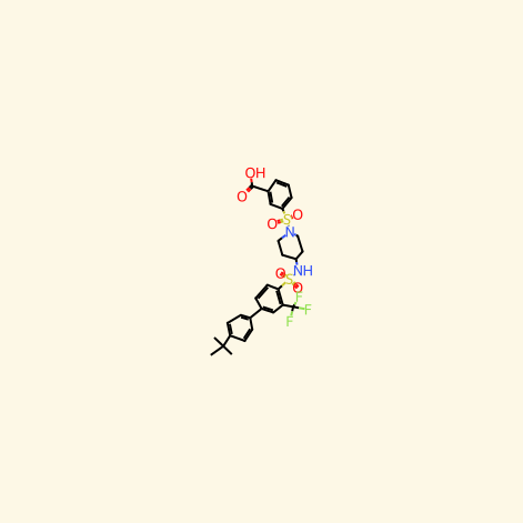 CC(C)(C)c1ccc(-c2ccc(S(=O)(=O)NC3CCN(S(=O)(=O)c4cccc(C(=O)O)c4)CC3)c(C(F)(F)F)c2)cc1